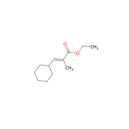 CCOC(=O)/C(C)=C/C1CCCCC1